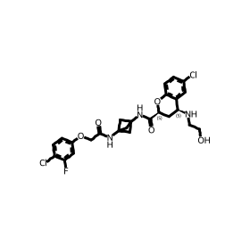 O=C(COc1ccc(Cl)c(F)c1)NC12CC(NC(=O)[C@@H]3C[C@H](NCCO)c4cc(Cl)ccc4O3)(C1)C2